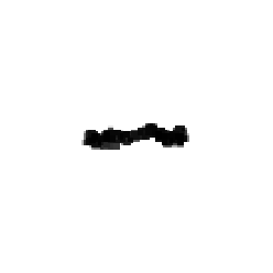 C=CC(=O)OCC(O)COCCOc1ccc(C(C)(C)C2=CCC=C(OCC(C)OCC(O)COC(=O)C=C)C=C2)cc1